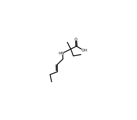 CCC=CCNC(C)(CC)C(=O)O